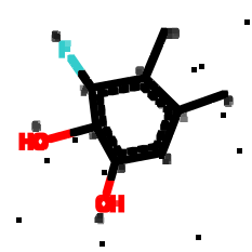 Cc1cc(O)c(O)c(F)c1C